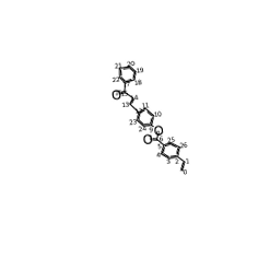 C=Cc1ccc(C(=O)Oc2ccc(C=CC(=O)c3ccccc3)cc2)cc1